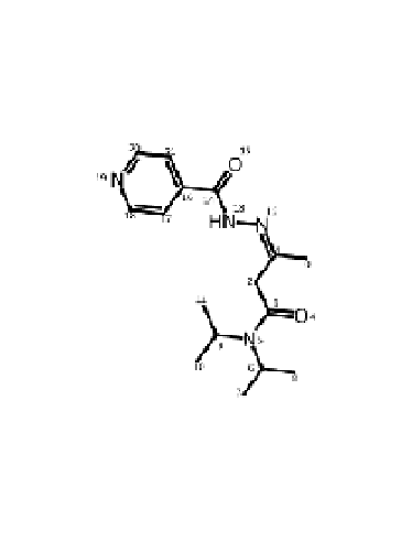 CC(CC(=O)N(C(C)C)C(C)C)=NNC(=O)c1ccncc1